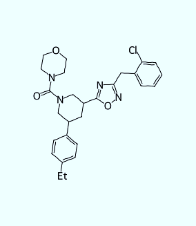 CCc1ccc(C2CC(c3nc(Cc4ccccc4Cl)no3)CN(C(=O)N3CCOCC3)C2)cc1